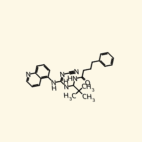 CC(C)(C)C(NC(=O)CCCc1ccccc1)NC(=NC#N)Nc1cccc2ncccc12